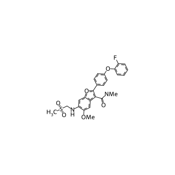 CNC(=O)c1c(-c2ccc(Oc3ccccc3F)cc2)oc2cc(NCS(C)(=O)=O)c(OC)cc12